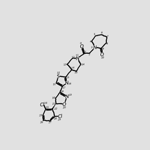 O=C(CN1CCCCCC1=O)N1CCC(c2nc(C3=NO[C@@H](c4c(Cl)cccc4Cl)C3)cs2)CC1